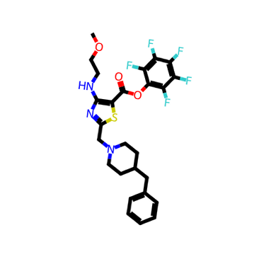 COCCNc1nc(CN2CCC(Cc3ccccc3)CC2)sc1C(=O)Oc1c(F)c(F)c(F)c(F)c1F